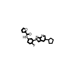 O=C(Nc1ccc(F)c(-n2cc3cc(C4CCCC4)cnc3n2)c1)c1ccco1